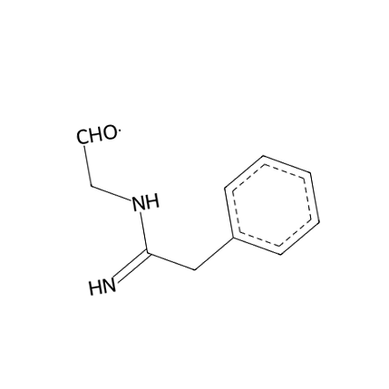 N=C(Cc1ccccc1)NC[C]=O